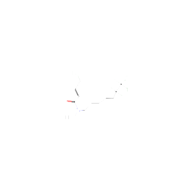 CN(CCCCCC(F)(F)C(F)(F)F)C(=O)C=CCBr